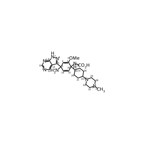 COC1=CC(N)(c2n[nH]c3ncncc23)C=CC1(NC(=O)O)C1CCC(N2CCN(C)CC2)CC1